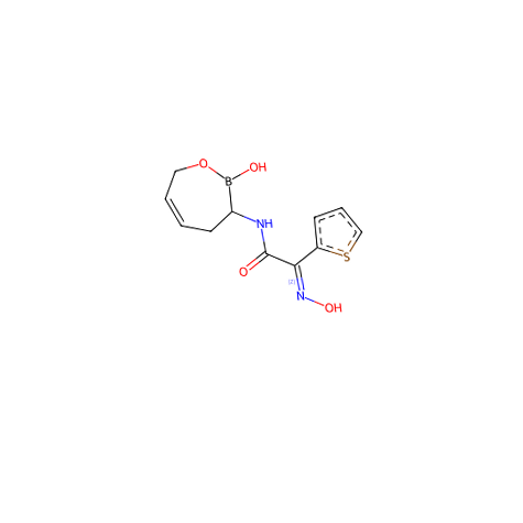 O=C(NC1CC=CCOB1O)/C(=N/O)c1cccs1